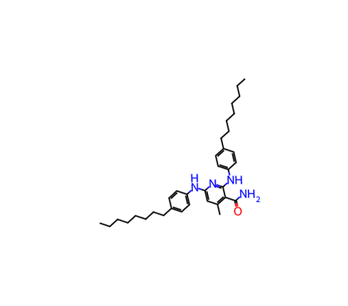 CCCCCCCCc1ccc(Nc2cc(C)c(C(N)=O)c(Nc3ccc(CCCCCCCC)cc3)n2)cc1